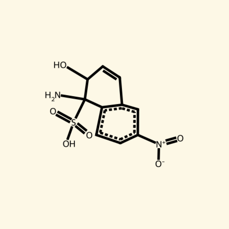 NC1(S(=O)(=O)O)c2ccc([N+](=O)[O-])cc2C=CC1O